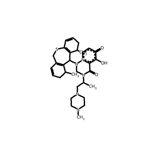 CC1CC=CC2=C1C(N1CN(C(C)CN3CCN(C)CC3)C(=O)c3c(O)c(=O)ccn31)C1=C(C=CCC1C)SC2